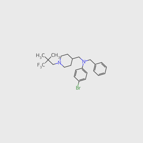 CC(C)(CN1CCC(CN(Cc2ccccc2)c2ccc(Br)cc2)CC1)C(F)(F)F